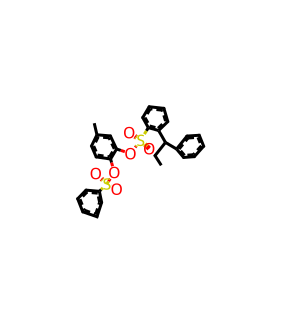 CCC(c1ccccc1)c1ccccc1S(=O)(=O)Oc1cc(C)ccc1OS(=O)(=O)c1ccccc1